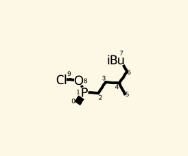 C#P(CCC(C)CC(C)CC)OCl